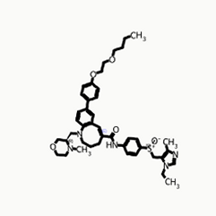 CCCCOCCOc1ccc(-c2ccc3c(c2)/C=C(/C(=O)Nc2ccc([S@+]([O-])Cc4c(C)ncn4CC)cc2)CCCN3C[C@@H]2COCCN2C)cc1